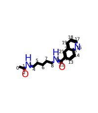 CC(=O)NCCCCCNC(=O)c1ccc2ncccc2c1